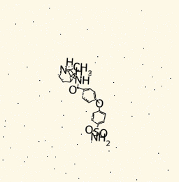 C[C@H]1[C@H](NC(=O)c2ccc(Oc3ccc(S(N)(=O)=O)cc3)cc2)C2CCN1CC2